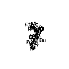 CCC(N)C(=O)C(=O)NC(=O)CN(C(=O)[C@H](CC1CCCCC1)NC(=O)[C@@H](NC(=O)[C@H](CC(C)C)NC(=O)c1cnccn1)[C@@H](C)CC)S(=O)(=O)c1ccccc1[N+](=O)[O-]